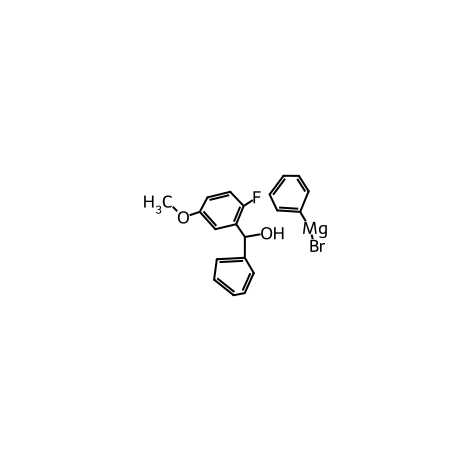 COc1ccc(F)c(C(O)c2ccccc2)c1.[Br][Mg][c]1ccccc1